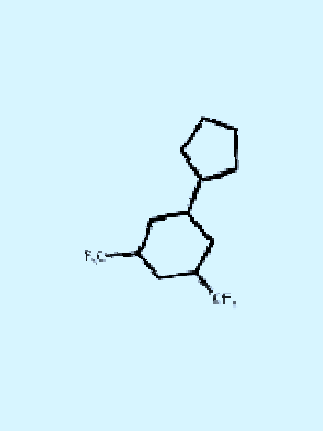 FC(F)(F)C1CC(C2CCCC2)CC(C(F)(F)F)C1